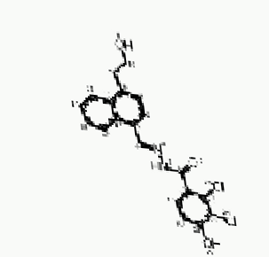 O=C(N/N=C/c1ccc(CCO)c2ccccc12)c1ccc(O)c(Cl)c1Cl